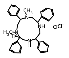 CN1CC(c2ccccc2)NCC(c2ccccc2)NC[C]([Ti+2])(c2ccccc2)N(C)CC1c1ccccc1.[Cl-].[Cl-]